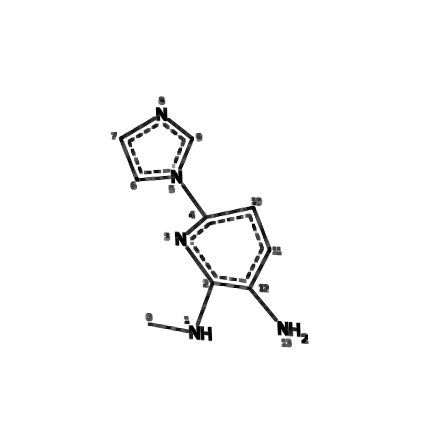 CNc1nc(-n2ccnc2)ccc1N